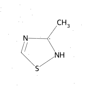 C[C]1N=CSN1